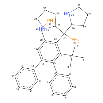 CC(C)(C)c1c(-c2ccccc2)c(-c2ccccc2)cc(CP)c1C(P)(C1CCCN1)C1CCCN1